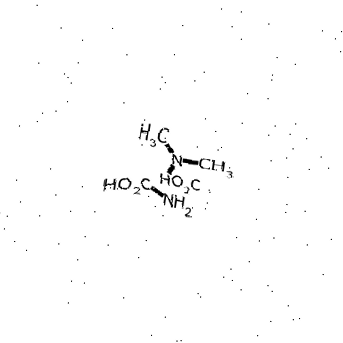 CN(C)C(=O)O.NC(=O)O